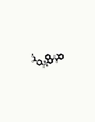 COCC(=O)N1CCC(NS(=O)(=O)c2ccc(NC(=O)c3ccccc3C)c3ccccc23)CC1